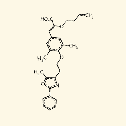 C=CCCOC(=Cc1cc(C)c(OCCc2nc(-c3ccccc3)oc2C)c(C)c1)C(=O)O